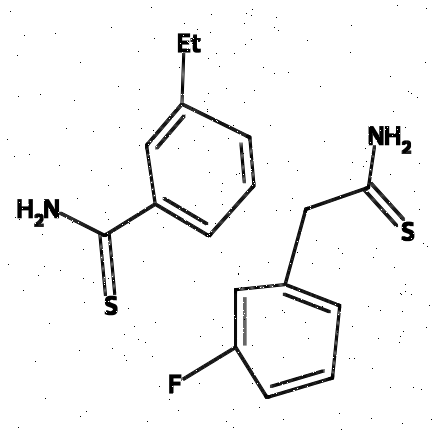 CCc1cccc(C(N)=S)c1.NC(=S)Cc1cccc(F)c1